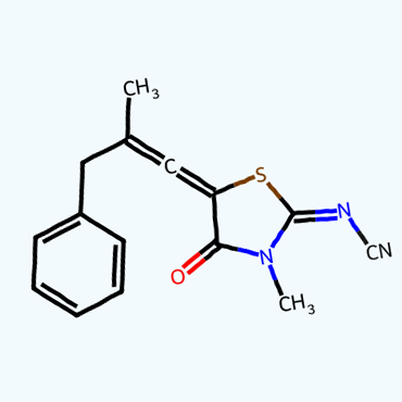 CC(=C=C1SC(=NC#N)N(C)C1=O)Cc1ccccc1